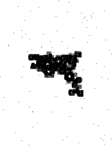 CCC1=C[C@H]2CN(C1)Cc1c([nH]c3ccc(C(=O)OCC(Cl)Cl)cc13)[C@@](C(=O)OC)(C1C=C3C(=CC1OC)N(C)[C@H]1[C@@](O)(C(=O)OC)[C@H](OC(C)=O)[C@]4(CC)C=CCN5CC[C@]31[C@@H]54)C2